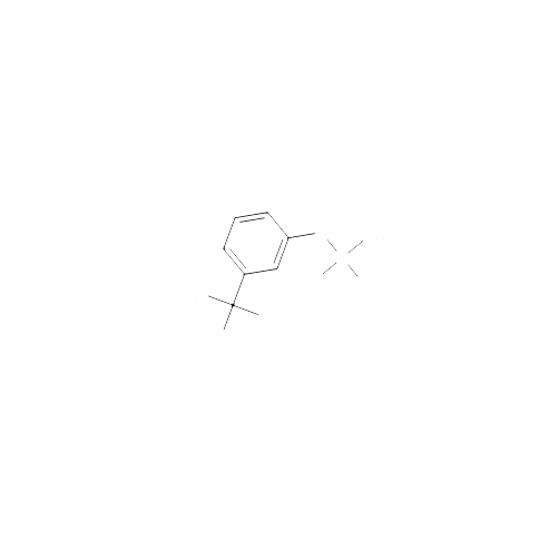 CC(C)(C(=O)O)c1cccc(O[Si](C)(C)C(C)(C)C)c1